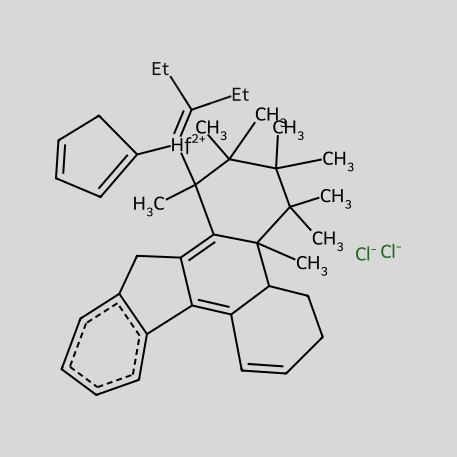 CC[C](CC)=[Hf+2]([C]1=CC=CC1)[C]1(C)C2=C3Cc4ccccc4C3=C3C=CCCC3C2(C)C(C)(C)C(C)(C)C1(C)C.[Cl-].[Cl-]